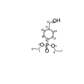 CCOP(=O)(OCC)c1ccc(CO)cc1